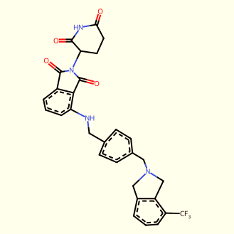 O=C1CCC(N2C(=O)c3cccc(NCc4ccc(CN5Cc6cccc(C(F)(F)F)c6C5)cc4)c3C2=O)C(=O)N1